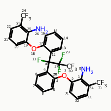 Nc1c(Oc2ccccc2C(F)(c2ccccc2Oc2cccc(C(F)(F)F)c2N)C(F)(F)C(F)(F)F)cccc1C(F)(F)F